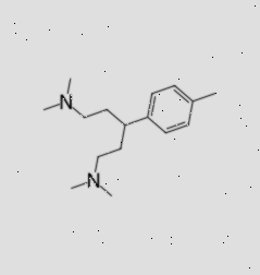 Cc1ccc(C(CCN(C)C)CCN(C)C)cc1